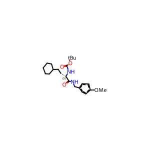 COc1ccc(CNC(=O)[C@H](CCC2CCCCC2)NC(=O)OC(C)(C)C)cc1